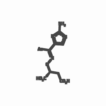 CC(=O)/C(=N\O[C@@H](CC(=O)O)C(=O)O)c1csc(N)n1